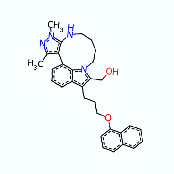 Cc1nn(C)c2c1-c1cccc3c(CCCOc4cccc5ccccc45)c(CO)n(c13)CCCCN2